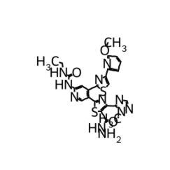 CCNC(=O)Nc1cc(-c2nc(-c3cccc(OC)n3)cs2)c(-c2nc(-c3ncnn3C)c(C(=O)NN)s2)cn1